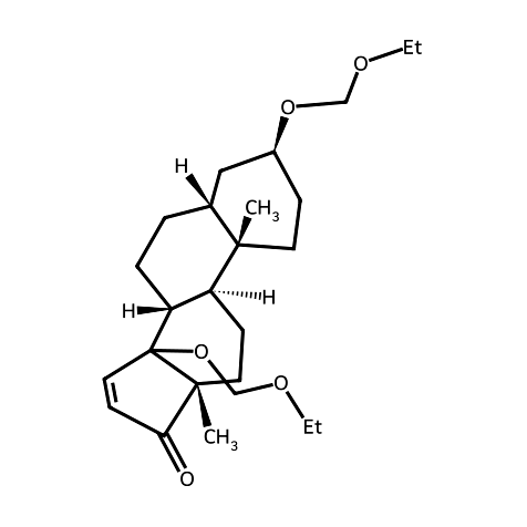 CCOCO[C@H]1CC[C@@]2(C)[C@H](CC[C@@H]3[C@@H]2CC[C@]2(C)C(=O)C=CC32OCOCC)C1